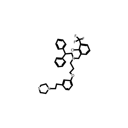 FC(F)(F)c1cccc(CN(CCCOc2cccc(CCN3CCSCC3)c2)CC(c2ccccc2)c2ccccc2)c1Cl